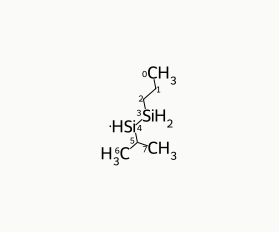 CCC[SiH2][SiH]C(C)C